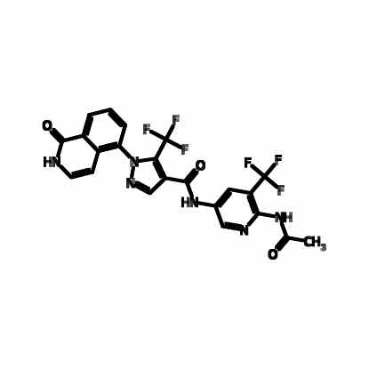 CC(=O)Nc1ncc(NC(=O)c2cnn(-c3cccc4c(=O)[nH]ccc34)c2C(F)(F)F)cc1C(F)(F)F